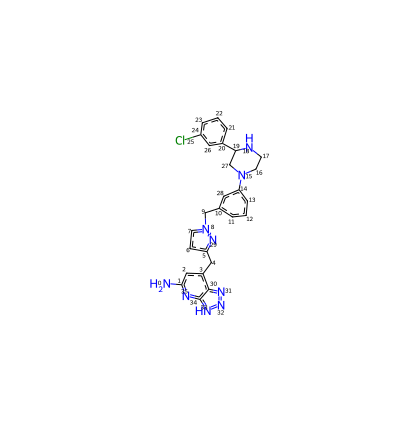 Nc1cc(Cc2ccn(Cc3cccc(N4CCNC(c5cccc(Cl)c5)C4)c3)n2)c2nn[nH]c2n1